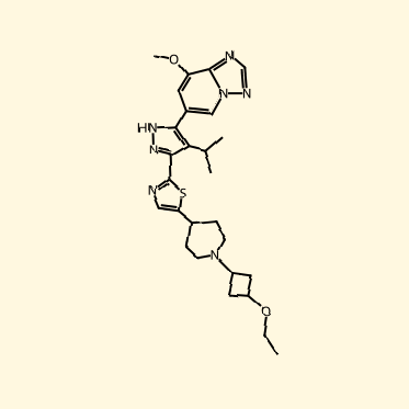 CCOC1CC(N2CCC(c3cnc(-c4n[nH]c(-c5cc(OC)c6ncnn6c5)c4C(C)C)s3)CC2)C1